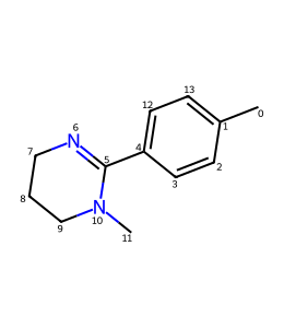 Cc1ccc(C2=NCCCN2C)cc1